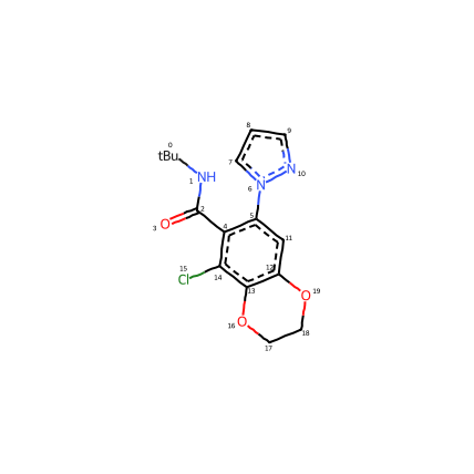 CC(C)(C)NC(=O)c1c(-n2cccn2)cc2c(c1Cl)OCCO2